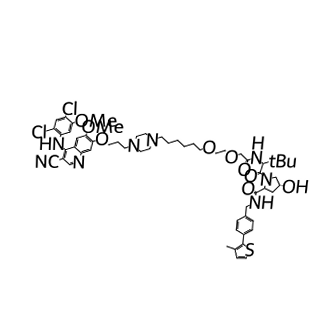 COc1cc(Nc2c(C#N)cnc3cc(OCCCN4CCN(CCCCCCOCCOCC(=O)NC(C(=O)N5C[C@H](O)CC5C(=O)NCc5ccc(-c6sccc6C)cc5)C(C)(C)C)CC4)c(OC)cc23)c(Cl)cc1Cl